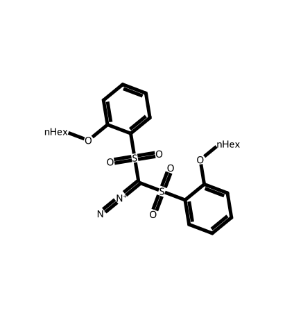 CCCCCCOc1ccccc1S(=O)(=O)C(=[N+]=[N-])S(=O)(=O)c1ccccc1OCCCCCC